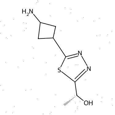 C[C@@H](O)c1nnc(C2CC(N)C2)s1